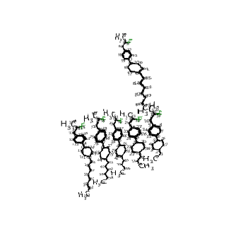 CCC1CCC(c2ccc(CC(C)F)cc2)CC1.CCCC1CCC(c2ccc(CC(C)F)cc2)CC1.CCCCC1CCC(c2ccc(CC(C)F)cc2)CC1.CCCCCCC1CCC(c2ccc(CC(C)F)cc2)CC1.CCCCCCCC1CCC(c2ccc(CC(C)F)cc2)CC1.CCCCCCCCC1CCC(c2ccc(CC(C)F)cc2)CC1